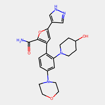 NC(=O)c1oc(-c2cn[nH]c2)cc1-c1ccc(N2CCOCC2)cc1N1CCC(O)CC1